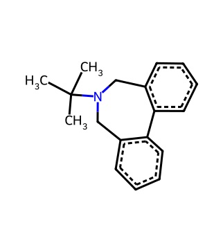 CC(C)(C)N1Cc2ccccc2-c2ccccc2C1